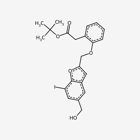 CC(C)(C)OC(=O)Cc1ccccc1OCc1cc2cc(CO)cc(I)c2o1